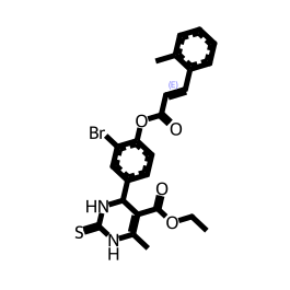 CCOC(=O)C1=C(C)NC(=S)NC1c1ccc(OC(=O)/C=C/c2ccccc2C)c(Br)c1